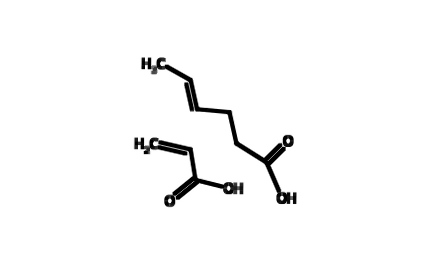 C=CC(=O)O.CC=CCCC(=O)O